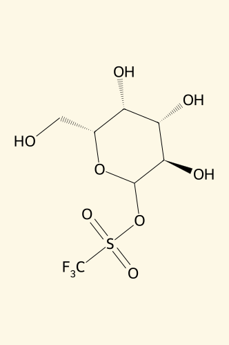 O=S(=O)(OC1O[C@H](CO)[C@H](O)[C@H](O)[C@H]1O)C(F)(F)F